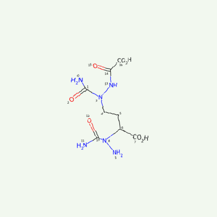 NC(=O)N(CCC(C(=O)O)N(N)C(N)=O)NC(=O)C(=O)O